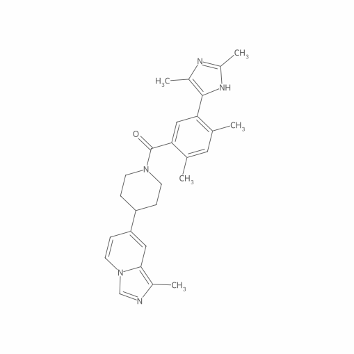 Cc1nc(C)c(-c2cc(C(=O)N3CCC(c4ccn5cnc(C)c5c4)CC3)c(C)cc2C)[nH]1